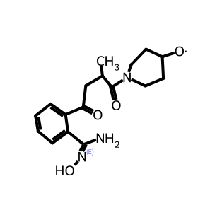 CC(CC(=O)c1ccccc1/C(N)=N\O)C(=O)N1CCC([O])CC1